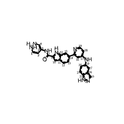 N/C=C\C(=C/N)NC(=O)c1cc2ccc(-c3cc(Nc4ccc5[nH]ncc5c4)ccn3)cc2[nH]1